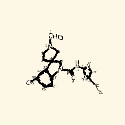 O=CN1CCC2(C1)CN(C(=O)Nc1ncc(F)s1)c1ccc(Cl)cc12